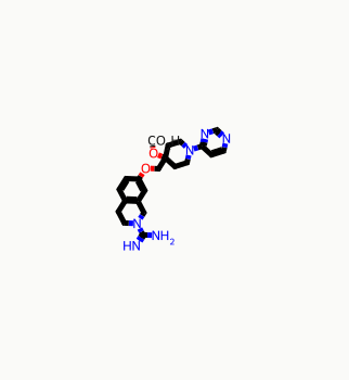 N=C(N)N1CCc2ccc(OCC3(OC(=O)O)CCN(c4ccncn4)CC3)cc2C1